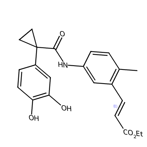 CCOC(=O)/C=C/c1cc(NC(=O)C2(c3ccc(O)c(O)c3)CC2)ccc1C